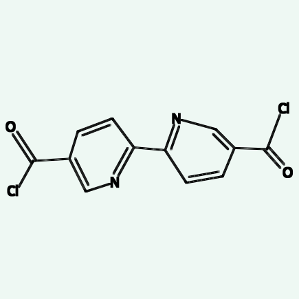 O=C(Cl)c1ccc(-c2ccc(C(=O)Cl)cn2)nc1